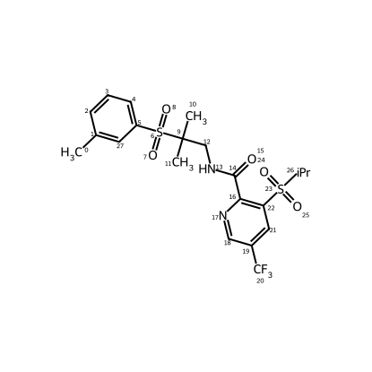 Cc1cccc(S(=O)(=O)C(C)(C)CNC(=O)c2ncc(C(F)(F)F)cc2S(=O)(=O)C(C)C)c1